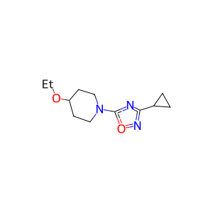 CCOC1CCN(c2nc(C3CC3)no2)CC1